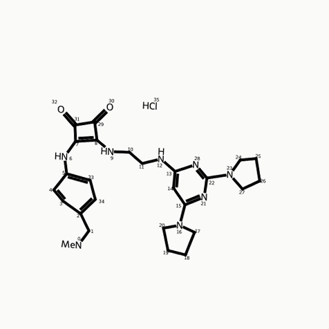 CNCc1ccc(Nc2c(NCCNc3cc(N4CCCC4)nc(N4CCCC4)n3)c(=O)c2=O)cc1.Cl